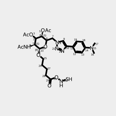 CC(=O)N[C@H]1C(OC(C)=O)[C@@H](OC(C)=O)C(Cn2cc(-c3ccc(N(C)C)cc3)nn2)O[C@H]1OCCCCC(=O)ONS